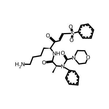 C[C@@H](C(=O)N[C@@H](CCCCN)C(=O)C=CS(=O)(=O)c1ccccc1)N(C(=O)N1CCOCC1)c1ccccc1